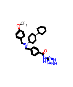 O=C(Nc1nn[nH]n1)c1ccc(CN(Cc2ccc(OC(F)(F)F)cc2)[C@H]2CC[C@H](C3CCCCC3)CC2)cc1